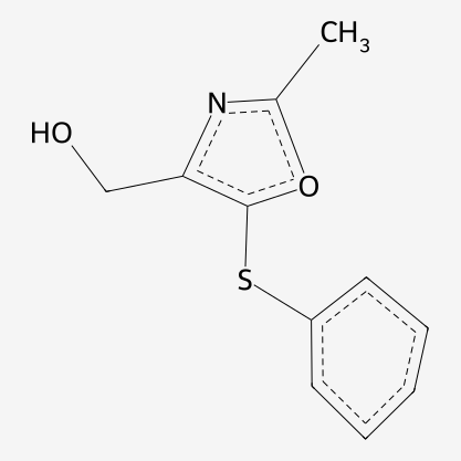 Cc1nc(CO)c(Sc2ccccc2)o1